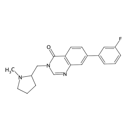 CN1CCCC1Cn1cnc2cc(-c3cccc(F)c3)ccc2c1=O